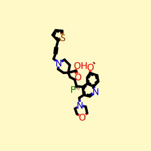 COc1ccc2ncc(CN3CCOCC3)c([C@H](F)CCC3(C(=O)O)CCN(CC#Cc4cccs4)CC3)c2c1